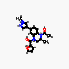 CC(=O)N1c2ccc(-c3cnn(C)c3)cc2N(C(=O)c2ccco2)C[C@@H]1C